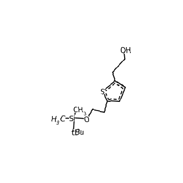 CC(C)(C)[Si](C)(C)OCCc1ccc(CCO)s1